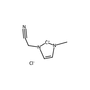 CN1[C+]N(CC#N)C=C1.[Cl-]